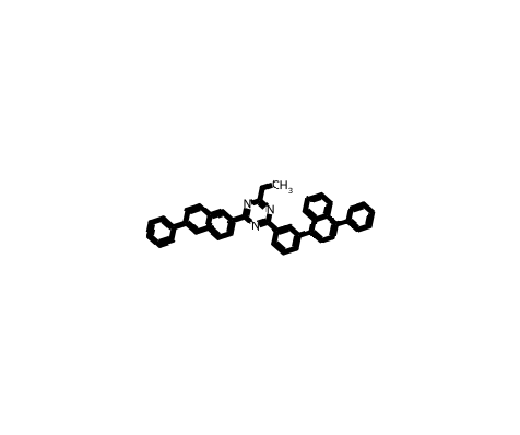 CCc1nc(-c2cccc(-c3ccc(-c4ccccc4)c4ccccc34)c2)nc(-c2ccc3cc(-c4ccccc4)ccc3c2)n1